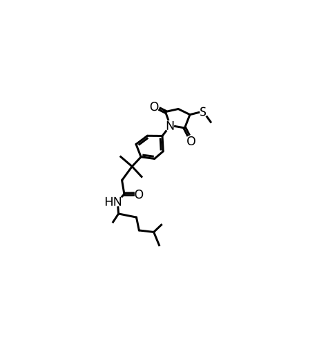 CSC1CC(=O)N(c2ccc(C(C)(C)CC(=O)NC(C)CCC(C)C)cc2)C1=O